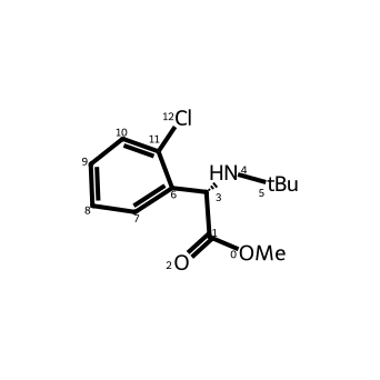 COC(=O)[C@@H](NC(C)(C)C)c1ccccc1Cl